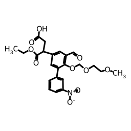 CCOC(=O)C(CC(=O)O)c1cc(C=O)c(OCOCCOC)c(-c2cccc([N+](=O)[O-])c2)c1